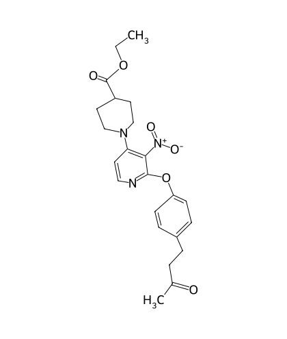 CCOC(=O)C1CCN(c2ccnc(Oc3ccc(CCC(C)=O)cc3)c2[N+](=O)[O-])CC1